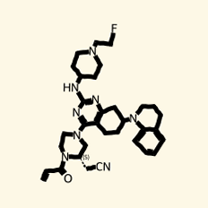 C=CC(=O)N1CCN(c2nc(NC3CCN(CCF)CC3)nc3c2CCC(N2CCCc4ccccc42)C3)C[C@@H]1CC#N